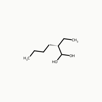 CCCC[C@H](CC)C(O)O